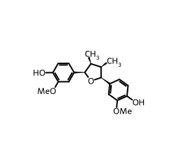 COc1cc([C@H]2O[C@@H](c3ccc(O)c(OC)c3)[C@@H](C)[C@H]2C)ccc1O